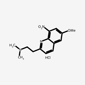 COc1cc([N+](=O)[O-])c2nc(CCN(C)C)ccc2c1.Cl